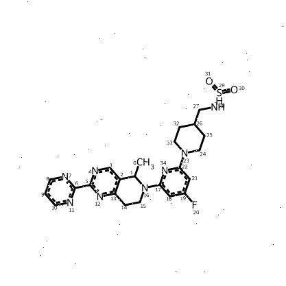 CC1c2cnc(-c3ncccn3)nc2CCN1c1cc(F)cc(N2CCC(CN[SH](=O)=O)CC2)n1